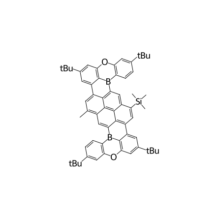 Cc1cc2c3c(cc4c([Si](C)(C)C)cc5c6c(cc1c3c46)B1c3ccc(C(C)(C)C)cc3Oc3cc(C(C)(C)C)cc-5c31)B1c3ccc(C(C)(C)C)cc3Oc3cc(C(C)(C)C)cc-2c31